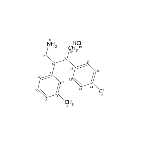 Cc1cccc(C(CN)C(C)c2ccc(Cl)cc2)c1.Cl